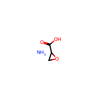 N.O=C(O)C1CO1